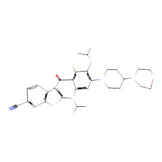 CC(C)Oc1c(N2CCC(N3CCOCC3)CC2)cc2c(c1F)c(=O)c1c3ccc(C#N)cc3[nH]c1n2C(C)C